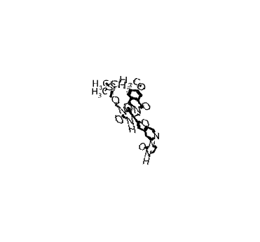 COc1ccc2c(c1)C(=O)N(C[C@@]1(c3cc4cc(N5CCNC5=O)ncc4o3)NC(=O)N(COCC[Si](C)(C)C)C1=O)C2